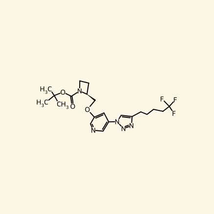 CC(C)(C)OC(=O)N1CC[C@H]1COc1cncc(-n2cc(CCCCC(F)(F)F)nn2)c1